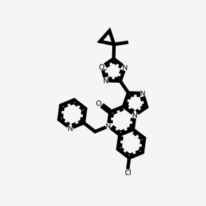 CC1(c2nc(-c3ncn4c3c(=O)n(Cc3ccccn3)c3cc(Cl)ccc34)no2)CC1